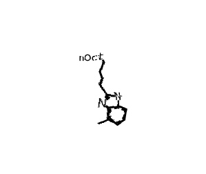 CCCCCCCCCCCCC1=Nc2c(C)cccc2[N]1